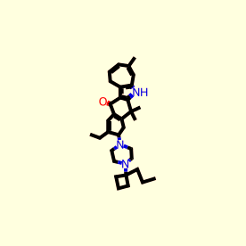 CCCC1(N2CCN(C3CC4=C(C=C3CC)C(=O)c3c([nH]c5c3CC=CC(C)=C5)C4(C)C)CC2)CCC1